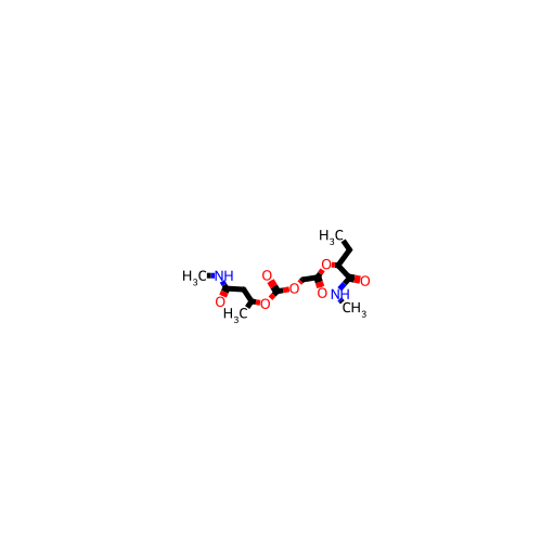 CCC(OC(=O)COC(=O)OC(C)CC(=O)NC)C(=O)NC